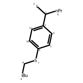 CCCC(I)c1ccc(SCC(C)CC)cc1